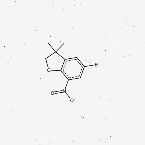 CC1(C)COc2c([N+](=O)[O-])cc(Br)cc21